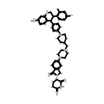 Cc1cc(F)ccc1C1COc2cc(O)ccc2C1c1ccc(N2CCC(CN3CCN(c4ccc5c(c4)CN([C@H]4CCC(=O)NC4=O)C5=O)CC3)CC2)cc1